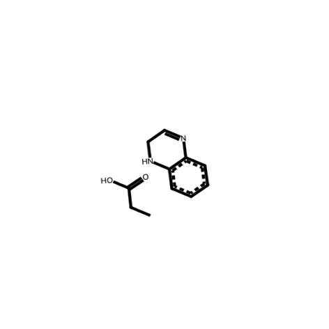 C1=Nc2ccccc2NC1.CCC(=O)O